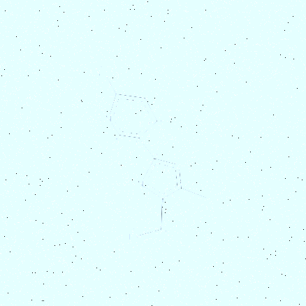 Cc1sc(-c2ccc(Cl)nc2)nc1CO